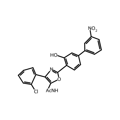 CC(=O)Nc1oc(-c2ccc(-c3cccc([N+](=O)[O-])c3)cc2O)nc1-c1ccccc1Cl